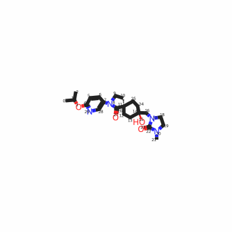 CC(C)Oc1ccc(N2CC[C@]3(CC[C@@](O)(CN4CCN(C)C4=O)CC3)C2=O)cn1